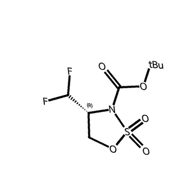 CC(C)(C)OC(=O)N1[C@@H](C(F)F)COS1(=O)=O